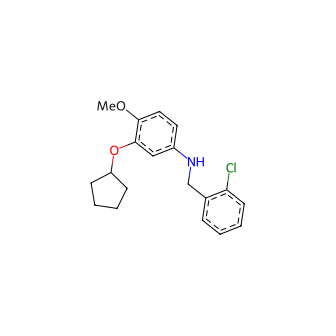 COc1ccc(NCc2ccccc2Cl)cc1OC1CCCC1